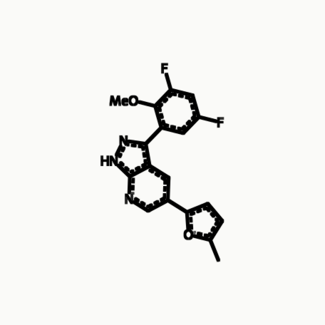 COc1c(F)cc(F)cc1-c1n[nH]c2ncc(-c3ccc(C)o3)cc12